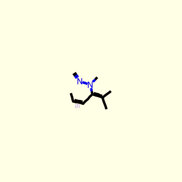 C=NN(C)C(/C=C\C)=C(C)C